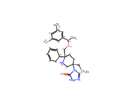 CCOC(=O)C[C@]1(n2cn[nH]c2=O)CC[C@@](CO[C@H](C)c2cc(C(F)(F)F)cc(C(F)(F)F)c2)(C2C=CC=CC2)NC1